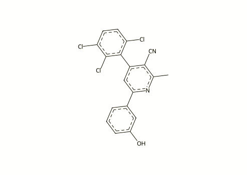 Cc1nc(-c2cccc(O)c2)cc(-c2c(Cl)ccc(Cl)c2Cl)c1C#N